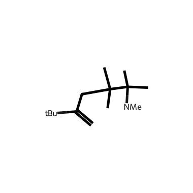 C=C(CC(C)(C)C(C)(C)NC)C(C)(C)C